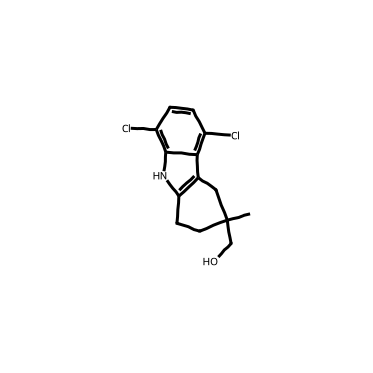 CC1(CO)CCc2[nH]c3c(Cl)ccc(Cl)c3c2C1